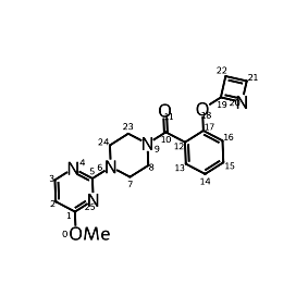 COc1ccnc(N2CCN(C(=O)c3ccccc3OC3=NC=C3)CC2)n1